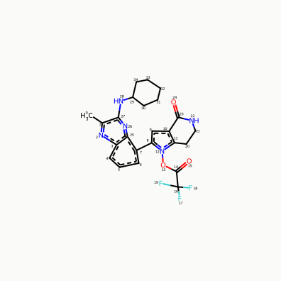 Cc1nc2cccc(-c3cc4c(n3OC(=O)C(F)(F)F)CCNC4=O)c2nc1NC1CCCCC1